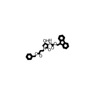 O=C(CCN1C[C@H](O)[C@H](NC(=O)OCC2c3ccccc3-c3ccccc32)C1=O)OCc1ccccc1